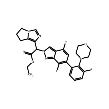 CCOC(=O)C(c1ncn2c1CCC2)n1cc2c(Cl)cc(-c3cccc(F)c3N3CCOCC3)c(F)c2n1